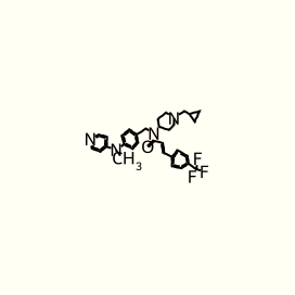 CN(c1ccncc1)c1ccc(CN(C(=O)C=Cc2ccc(C(F)(F)F)cc2)C2CCN(CC3CC3)CC2)cc1